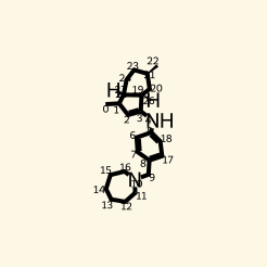 CC1C=C(Nc2ccc(CN3CCCCCC3)cc2)[C@@H]2C[C@H](C)CC[C@@H]12